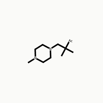 CC(=O)C(C)(C)CN1CCN(C)CC1